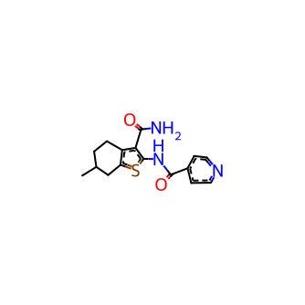 CC1CCc2c(sc(NC(=O)c3ccncc3)c2C(N)=O)C1